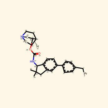 CC(C)Cc1ccc(-c2ccc3c(c2)CC(C)(C)C3NC(=O)O[C@H]2CN3CCC2CC3)cc1